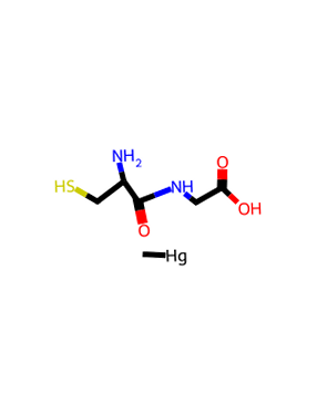 NC(CS)C(=O)NCC(=O)O.[CH3][Hg]